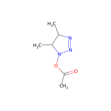 CC(=O)ON1N=NC(C)C1C